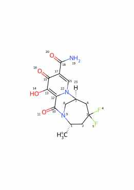 C[C@H]1CC(F)(F)C[C@H]2CN1C(=O)c1c(O)c(=O)c(C(N)=O)cn12